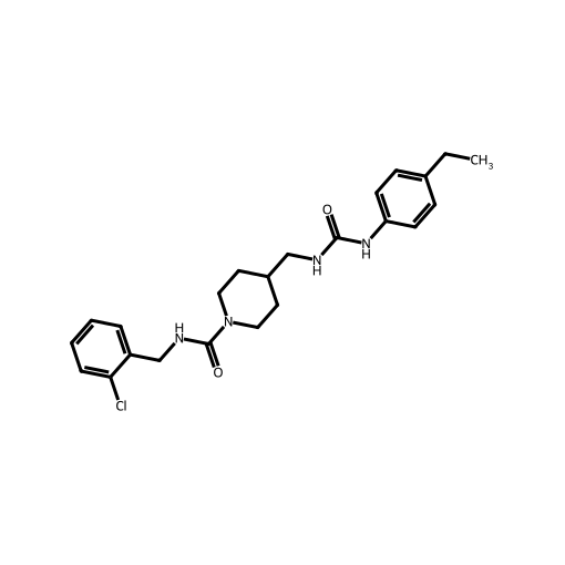 CCc1ccc(NC(=O)NCC2CCN(C(=O)NCc3ccccc3Cl)CC2)cc1